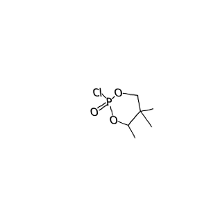 CC1OP(=O)(Cl)OCC1(C)C